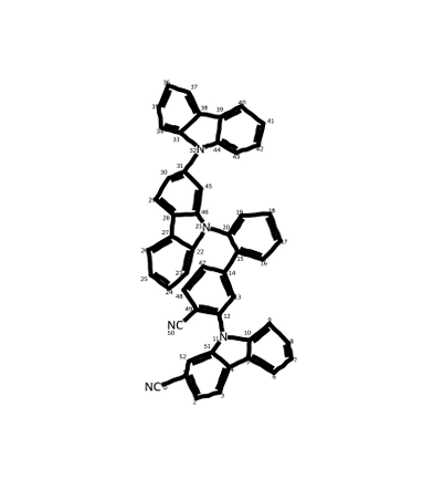 N#Cc1ccc2c3ccccc3n(-c3cc(-c4ccccc4-n4c5ccccc5c5ccc(-n6c7ccccc7c7ccccc76)cc54)ccc3C#N)c2c1